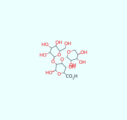 O=C(O)C1O[C@@H](O)C(O[C@@H]2OC(CO)[C@H](O)C(O)C2O)C(O[C@@H]2OC[C@@H](O)C(O)C2O)[C@@H]1O